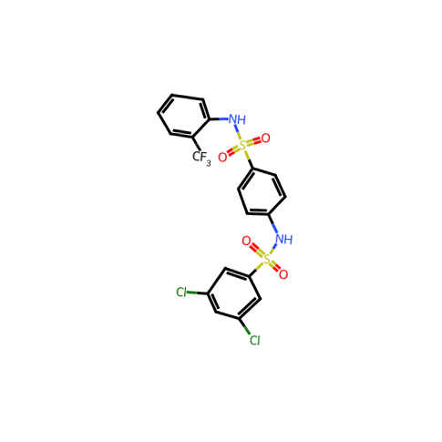 O=S(=O)(Nc1ccc(S(=O)(=O)Nc2ccccc2C(F)(F)F)cc1)c1cc(Cl)cc(Cl)c1